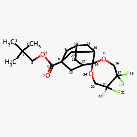 CC(C)(C)COC(=O)C12CC3CC(C1)C1(OCC(F)(F)C(F)(F)CO1)C(C3)C2